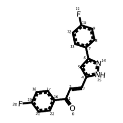 O=C(C=Cc1cc(-c2ccc(F)cc2)n[nH]1)c1ccc(F)cc1